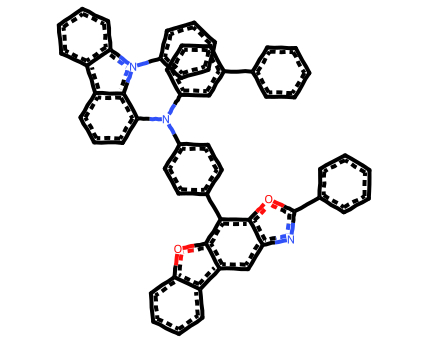 c1ccc(-c2cccc(N(c3ccc(-c4c5oc(-c6ccccc6)nc5cc5c4oc4ccccc45)cc3)c3cccc4c5ccccc5n(-c5ccccc5)c34)c2)cc1